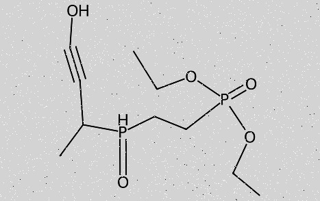 CCOP(=O)(CC[PH](=O)C(C)C#CO)OCC